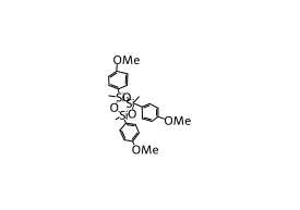 COc1ccc([Si]2(C)O[Si](C)(c3ccc(OC)cc3)O[Si](C)(c3ccc(OC)cc3)O2)cc1